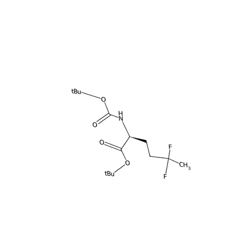 CC(F)(F)CC[C@H](NC(=O)OC(C)(C)C)C(=O)OC(C)(C)C